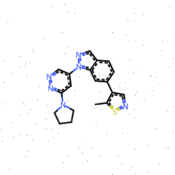 Cc1sncc1-c1ccc2cnn(-c3cnnc(N4CCCC4)c3)c2c1